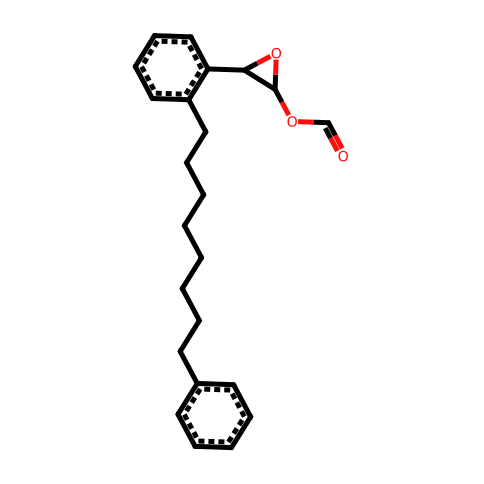 O=COC1OC1c1ccccc1CCCCCCCCc1ccccc1